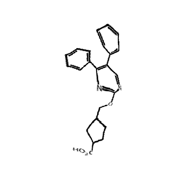 O=C(O)C1CCC(COc2ncc(-c3ccccc3)c(-c3ccccc3)n2)C1